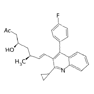 CC(=O)C[C@H](O)C[C@H](C)/C=C/c1c(C2CC2)nc2ccccc2c1-c1ccc(F)cc1